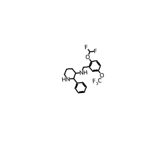 FC(F)Oc1ccc(OC(F)(F)F)cc1CNC1CCCNC1c1ccccc1